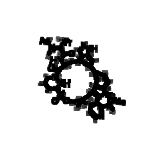 CCn1c(-c2cccnc2[C@H](C)OC)c2c3cc(ccc31)-c1cc(c3cn[nH]c3c1)C[C@H](NC(=O)[C@H](C(C)C)N(C)C(C)=O)C(=O)N1CCC[C@H](N1)C(=O)OCC(C)(C)C2